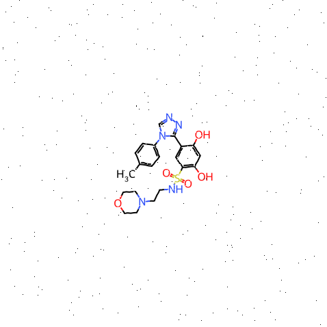 Cc1ccc(-n2cnnc2-c2cc(S(=O)(=O)NCCN3CCOCC3)c(O)cc2O)cc1